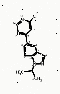 CC(C)n1ncc2cc(-c3cc(Cl)ncn3)ccc21